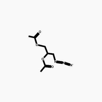 CC(=O)OCC(CN=[N+]=[N-])OC(C)=O